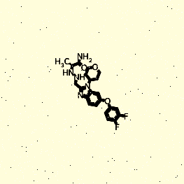 C[C@H](NNCc1nc2ccc(Oc3ccc(F)c(F)c3)cc2n1C1CCOCC1)C(N)=O